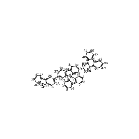 c1ccc(C2(c3ccccc3)c3cc(-c4ccc5sc6ccccc6c5c4)ccc3-c3ccc(-c4cnc5c6ccccc6c6ccccc6c5n4)cc32)cc1